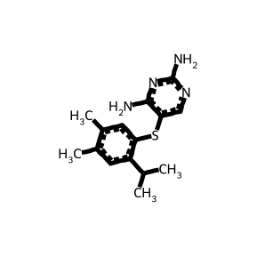 Cc1cc(Sc2cnc(N)nc2N)c(C(C)C)cc1C